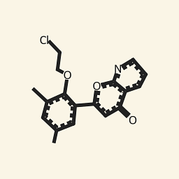 Cc1cc(C)c(OCCCl)c(-c2cc(=O)c3cccnc3o2)c1